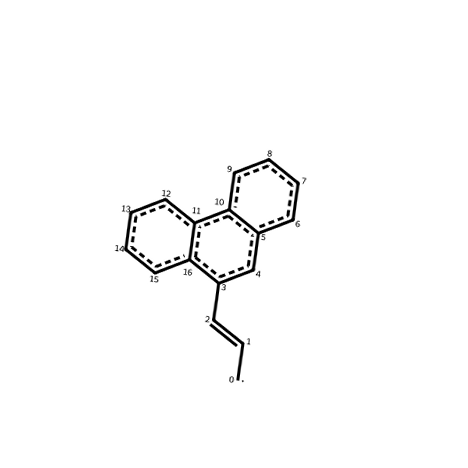 [CH2]/C=C/c1cc2ccccc2c2ccccc12